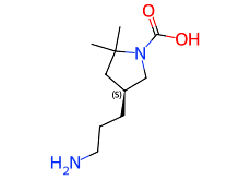 CC1(C)C[C@H](CCCN)CN1C(=O)O